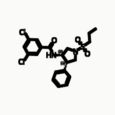 CCCS(=O)(=O)N1C[C@H](NC(=O)c2cc(Cl)cc(Cl)c2)[C@@H](c2ccccc2)C1